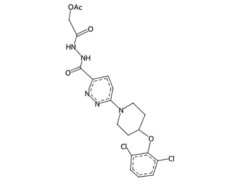 CC(=O)OCC(=O)NNC(=O)c1ccc(N2CCC(Oc3c(Cl)cccc3Cl)CC2)nn1